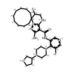 Nc1nn2c(c1C(=O)Nc1cncc(F)c1N1CCN(C3CCOC3)CC1)NCC(F)C21CCCCCCCCC1